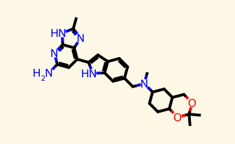 Cc1nc2c(-c3cc4ccc(CN(C)C5CCC6OC(C)(C)OCC6C5)cc4[nH]3)cc(N)nc2[nH]1